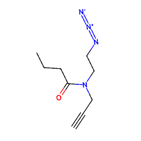 C#CCN(CCN=[N+]=[N-])C(=O)CCC